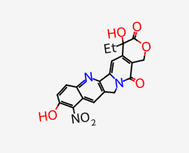 CCC1(O)C(=O)OCc2c1cc1n(c2=O)Cc2cc3c([N+](=O)[O-])c(O)ccc3nc2-1